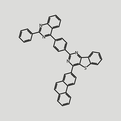 c1ccc(-c2nc(-c3ccc(-c4nc(-c5ccc6c(ccc7ccccc76)c5)c5sc6ccccc6c5n4)cc3)c3ccccc3n2)cc1